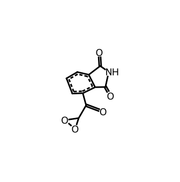 O=C1NC(=O)c2c1cccc2C(=O)C1OO1